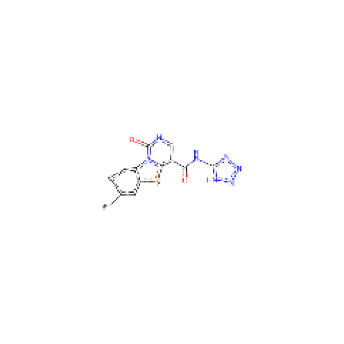 CC(C)c1ccc2c(c1)sc1c(C(=O)Nc3nnn[nH]3)cnc(=O)n12